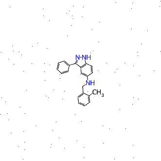 Cc1ccccc1CNc1ccc2[nH]nc(-c3ccccc3)c2c1